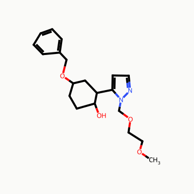 COCCOCn1nccc1C1CC(OCc2ccccc2)CCC1O